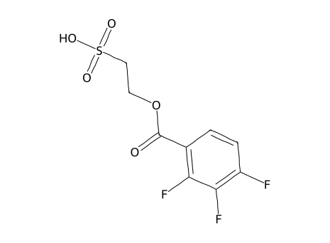 O=C(OCCS(=O)(=O)O)c1ccc(F)c(F)c1F